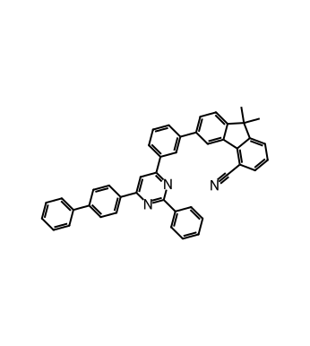 CC1(C)c2ccc(-c3cccc(-c4cc(-c5ccc(-c6ccccc6)cc5)nc(-c5ccccc5)n4)c3)cc2-c2c(C#N)cccc21